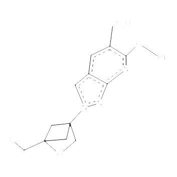 CC(C)Oc1nc2nn(C34COC(CF)(C3)C4)cc2cc1C(=O)O